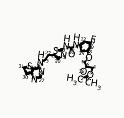 CC1(C)OCC(COc2cc(F)cc(NC(=O)Nc3ncc(CCNc4ncnc5ccsc45)s3)c2)O1